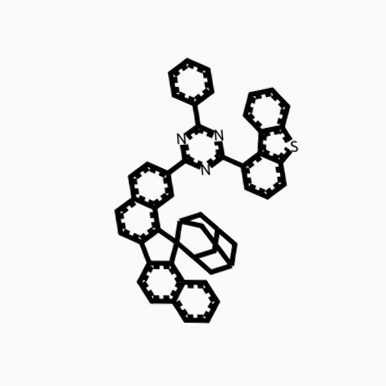 c1ccc(-c2nc(-c3ccc4ccc5c(c4c3)C3(c4c-5ccc5ccccc45)C4CC5CC(C4)CC3C5)nc(-c3cccc4sc5ccccc5c34)n2)cc1